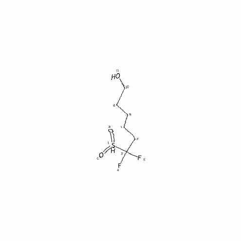 O=[SH](=O)C(F)(F)CCCCCO